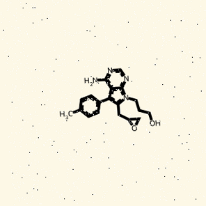 Cc1ccc(-c2c(CC3CO3)n(CCCO)c3ncnc(N)c23)cc1